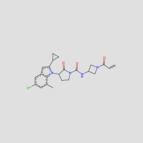 C=CC(=O)N1CC(NC(=O)N2CCC(n3c(C4CC4)cc4cc(Cl)cc(C)c43)C2=O)C1